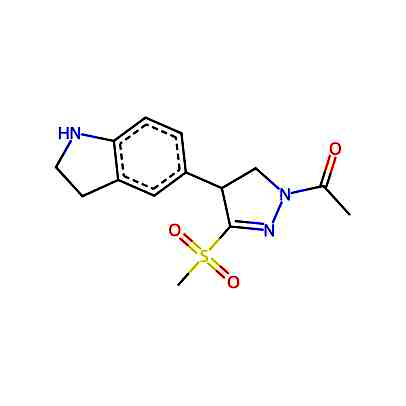 CC(=O)N1CC(c2ccc3c(c2)CCN3)C(S(C)(=O)=O)=N1